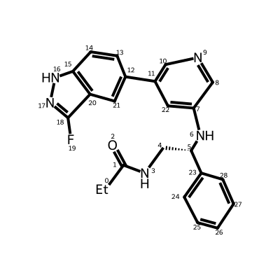 CCC(=O)NC[C@H](Nc1cncc(-c2ccc3[nH]nc(F)c3c2)c1)c1ccccc1